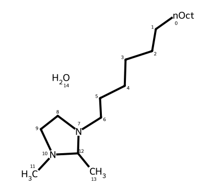 CCCCCCCCCCCCCCN1CCN(C)C1C.O